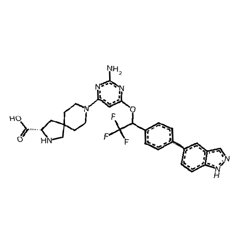 Nc1nc(OC(c2ccc(-c3ccc4[nH]ncc4c3)cc2)C(F)(F)F)cc(N2CCC3(CC2)CN[C@H](C(=O)O)C3)n1